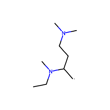 [CH2]C(CCN(C)C)N(C)CC